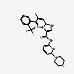 CC1=CC2NC=C(C(=O)NC3=CC=CC(N4CCOCC4)N3)N2N=C1c1ccccc1C(F)(F)F